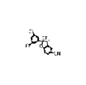 N#Cc1ccc2c(c1)CC(c1cc(Cl)cc(Cl)c1)(C(F)(F)F)O2